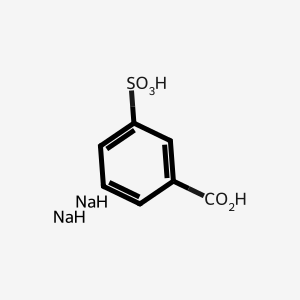 O=C(O)c1cccc(S(=O)(=O)O)c1.[NaH].[NaH]